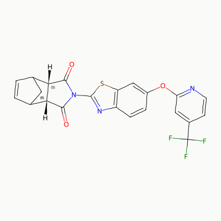 O=C1[C@@H]2C3C=CC(C3)[C@@H]2C(=O)N1c1nc2ccc(Oc3cc(C(F)(F)F)ccn3)cc2s1